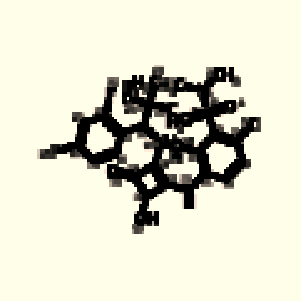 CN(C)S(=O)(=O)c1c(Cl)ccc(NC2=C(NC(c3ccc(F)cc3F)C(C)(C)C)C(=O)C2O)c1O